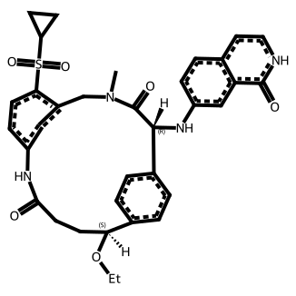 CCO[C@H]1CCC(=O)Nc2ccc(S(=O)(=O)C3CC3)c(c2)CN(C)C(=O)[C@H](Nc2ccc3cc[nH]c(=O)c3c2)c2ccc1cc2